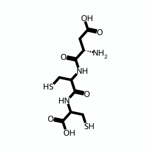 N[C@@H](CC(=O)O)C(=O)NC(CS)C(=O)NC(CS)C(=O)O